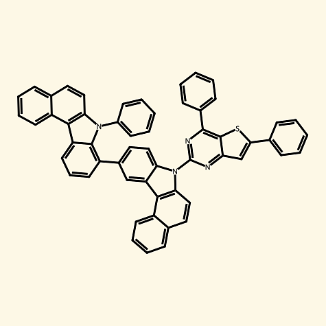 c1ccc(-c2cc3nc(-n4c5ccc(-c6cccc7c8c9ccccc9ccc8n(-c8ccccc8)c67)cc5c5c6ccccc6ccc54)nc(-c4ccccc4)c3s2)cc1